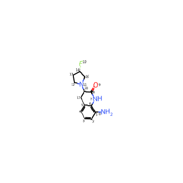 Nc1cccc2c1NC(=O)C(N1CC[C@H](F)C1)C2